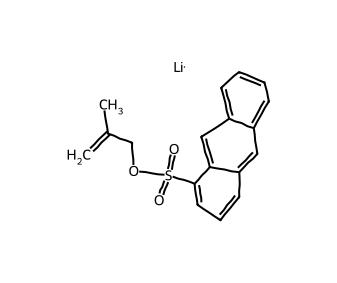 C=C(C)COS(=O)(=O)c1cccc2cc3ccccc3cc12.[Li]